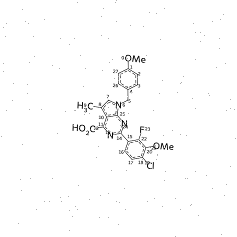 COc1ccc(Cn2cc(C)c3c(C(=O)O)nc(-c4ccc(Cl)c(OC)c4F)nc32)cc1